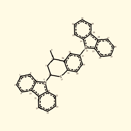 CC1CC(n2c3ccccc3c3ccccc32)Sc2ccc(-n3c4ccccc4c4ccccc43)cc21